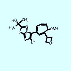 CCc1nc2sc(C(C)(C)O)nn2c1C1=CC=CC(OC)C(C2COC2)=C1